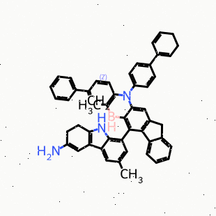 C=C(/C=C\C1=C(C)Bc2c(cc3c(c2-c2cc(C)cc4c5c([nH]c24)CCC(N)=C5)-c2ccccc2C3)N1c1ccc(C2=CCCC=C2)cc1)c1ccccc1